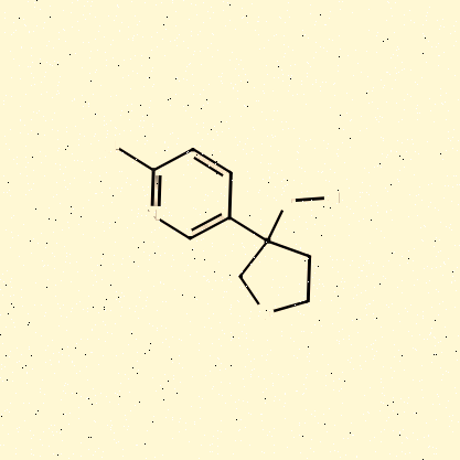 COC1(c2ccc(Cl)nc2)CCOC1